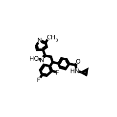 Cc1cc(/C(CC(c2ccc(C(=O)NC3CC3)cc2)c2ccc(F)cc2F)=N\O)ccn1